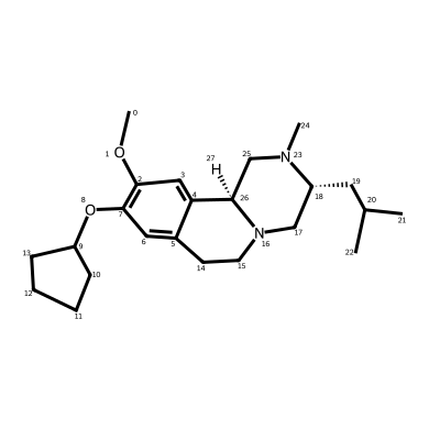 COc1cc2c(cc1OC1CCCC1)CCN1C[C@@H](CC(C)C)N(C)C[C@H]21